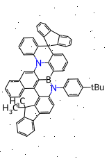 CC(C)(C)c1ccc(N2B3c4cccc5c4N(c4ccccc4C54c5ccccc5-c5ccccc54)c4cc5ccccc5c(c43)-c3c2ccc2c3C(C)(C)c3ccccc3-2)cc1